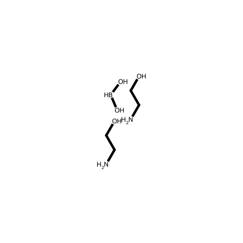 NCCO.NCCO.OBO